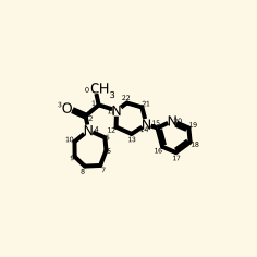 CC(C(=O)N1CCCCCC1)N1CCN(c2ccccn2)CC1